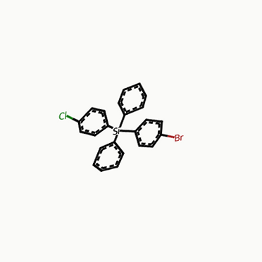 Clc1ccc([Si](c2ccccc2)(c2ccccc2)c2ccc(Br)cc2)cc1